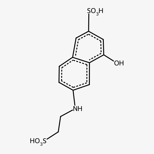 O=S(=O)(O)CCNc1ccc2cc(S(=O)(=O)O)cc(O)c2c1